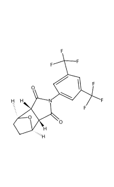 O=C1[C@@H]2[C@H](C(=O)N1c1cc(C(F)(F)F)cc(C(F)(F)F)c1)[C@H]1CC[C@@H]2O1